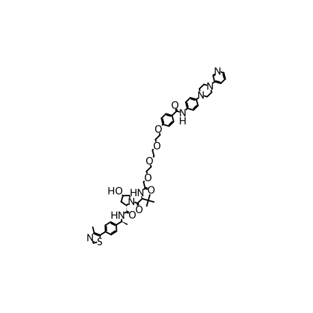 Cc1ncsc1-c1ccc([C@H](C)NC(=O)[C@@H]2C[C@@H](O)CN2C(=O)[C@@H](NC(=O)COCCOCCOCCOc2ccc(C(=O)Nc3ccc(N4CCN(c5cccnc5)CC4)cc3)cc2)C(C)(C)C)cc1